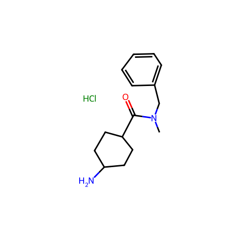 CN(Cc1ccccc1)C(=O)C1CCC(N)CC1.Cl